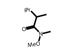 CON(C)C(=O)C(C)C(C)C